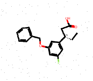 CC[C@@H](CC(=O)O)c1cc(F)cc(OCc2ccccc2)c1